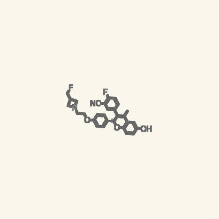 CC1=C(c2ccc(F)c(C#N)c2)[C@H](c2ccc(OCCN3CC(CF)C3)cc2)Oc2ccc(O)cc21